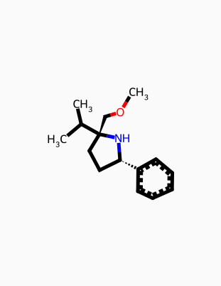 COC[C@]1(C(C)C)CC[C@@H](c2ccccc2)N1